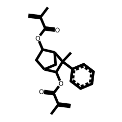 C=C(C)C(=O)OC1CC2CC1C(C)(c1ccccc1)C2OC(=O)C(=C)C